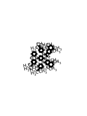 CC(C)(C)c1ccc(N2c3cc4c(cc3B3c5sc6cc7c(cc6c5N(c5ccc(C(C)(C)C)cc5)c5cc(N6c8ccccc8Oc8cc(C(C)(C)C)ccc86)cc2c53)C(C)(C)CCC7(C)C)C(C)(C)CCC4(C)C)cc1